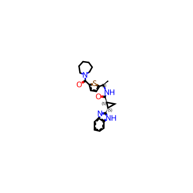 C[C@@H](NC(=O)[C@H]1C[C@@H]1c1nc2ccccc2[nH]1)c1ccc(C(=O)N2CCCCCC2)s1